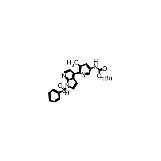 Cc1cc(NC(=O)OC(C)(C)C)cnc1-c1ccnc2c1ccn2S(=O)(=O)c1ccccc1